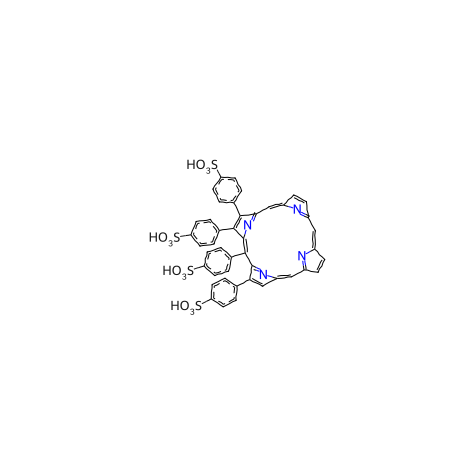 O=S(=O)(O)c1ccc(C2=CC3=CC4=NC(=CC5=NC(=CC6=NC(=C(c7ccc(S(=O)(=O)O)cc7)C2=N3)C(c2ccc(S(=O)(=O)O)cc2)=C6c2ccc(S(=O)(=O)O)cc2)C=C5)C=C4)cc1